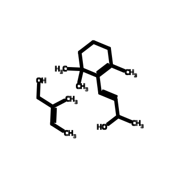 C/C=C(\C)CO.CC1=C(/C=C/C(C)O)C(C)(C)CCC1